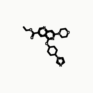 CCOC(=O)c1cnc2cc(N3CCOCC3)nc(OC3CCC(n4ccnc4)CC3)c2c1